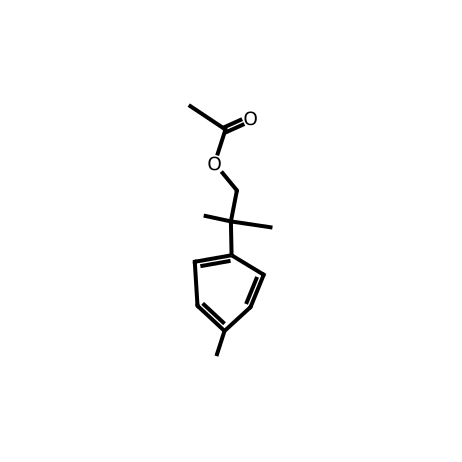 CC(=O)OCC(C)(C)c1ccc(C)cc1